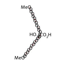 COCCOCCOCCOCCOCCOCCOCCOCCOCCOCCOCCOCCC(CCOCCOCCOCCOCCOCCOCCOCCOCCOCCOCCOCCOC)(C(=O)O)C(=O)O